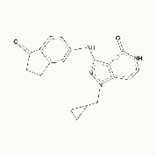 O=C1CCc2cc(Nc3nn(CC4CC4)c4cc[nH]c(=O)c34)ccc21